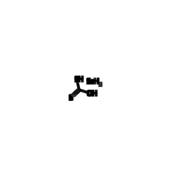 OC(=S)S.[SeH2]